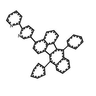 c1ccc(-c2c3c(c(-c4ccccc4)c4ccccc24)-c2ccc(-c4ccc(-c5ccccn5)nc4)c4cccc-3c24)cc1